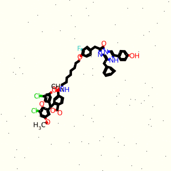 COc1[c]c(Cl)c2c(c1)C1(OC(=O)c3ccc(C(=O)NCCCCCCCCOc4ccc(Cc5nc6c(Cc7ccccc7)[nH]c(-c7ccc(O)cc7)cn-6c5=O)cc4F)cc31)c1cc(OC)[c]c(Cl)c1O2